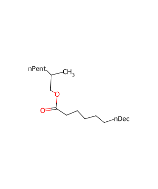 CCCCCCCCCCCCCCCC(=O)OCC(C)CCCCC